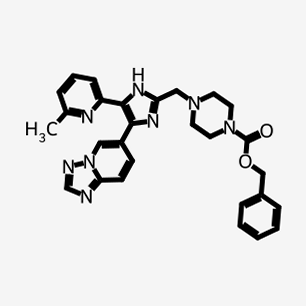 Cc1cccc(-c2[nH]c(CN3CCN(C(=O)OCc4ccccc4)CC3)nc2-c2ccc3ncnn3c2)n1